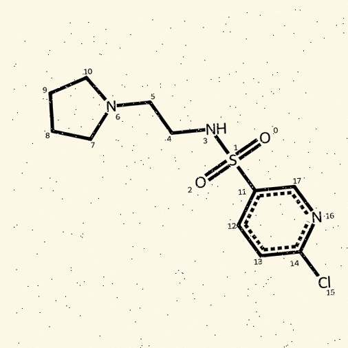 O=S(=O)(NCCN1CCCC1)c1ccc(Cl)nc1